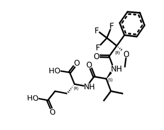 CO[C@@](C(=O)N[C@H](C(=O)N[C@H](CCC(=O)O)C(=O)O)C(C)C)(c1ccccc1)C(F)(F)F